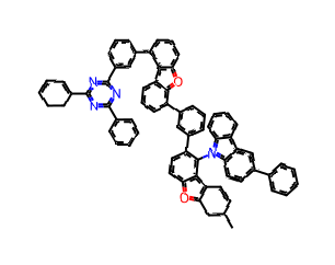 CC1C=Cc2c(oc3ccc(-c4cccc(-c5cccc6c5oc5cccc(-c7cccc(-c8nc(C9=CC=CCC9)nc(-c9ccccc9)n8)c7)c56)c4)c(-n4c5ccccc5c5cc(-c6ccccc6)ccc54)c23)C1